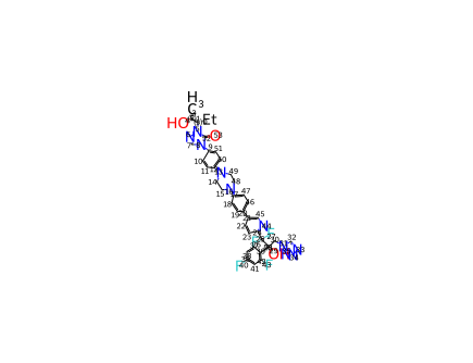 CC[C@@H]([C@H](C)O)n1ncn(-c2ccc(N3CCN(c4ccc(-c5ccc(C(F)(F)[C@](O)(Cn6cnnn6)c6ccc(F)cc6F)nc5)cc4)CC3)cc2)c1=O